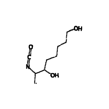 [CH2]C(N=C=O)C(O)CCCCCO